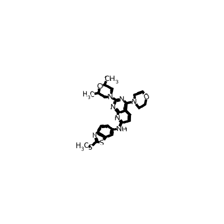 CSc1nc2ccc(Nc3ccc4c(N5CCOCC5)nc(N5CC(C)OC(C)C5)nc4n3)cc2s1